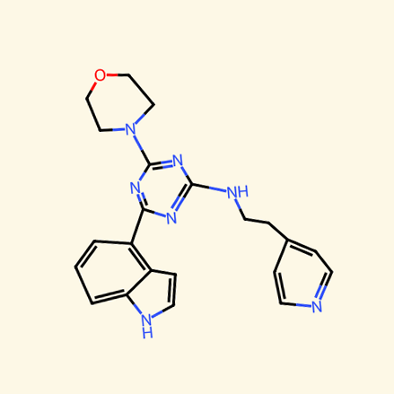 c1cc(-c2nc(NCCc3ccncc3)nc(N3CCOCC3)n2)c2cc[nH]c2c1